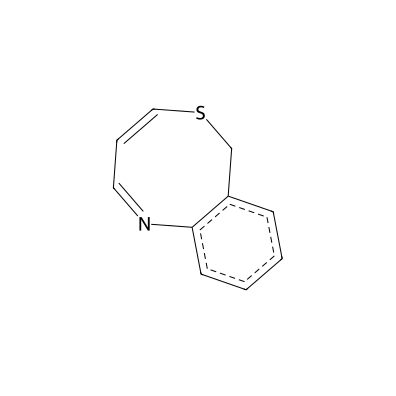 C1=CSCc2ccccc2N=C1